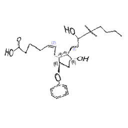 CCCCC(C)(C)C(O)/C=C/[C@@H]1[C@@H](C/C=C\CCCC(=O)O)[C@H](Oc2ccccc2)C[C@H]1O